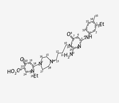 CCc1cc(Nc2cc(=O)n(CCCCN3CCN(c4cc(=O)c(C(=O)O)cn4CC)CC3)c(N)n2)ccc1C